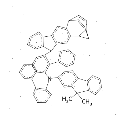 CC1(C)c2ccccc2-c2ccc(N(c3ccccc3-c3ccccc3)c3cccc4c3-c3ccccc3C43c4ccccc4-c4cc5c(cc43)C3C4C=CC5C=CC43)cc21